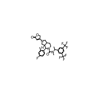 Cc1cc(F)ccc1C1[C@@H]2CN(C3=CC(=O)OC3)CC2CCN1C(=O)N(C)C(C)c1cc(C(F)(F)F)cc(C(F)(F)F)c1